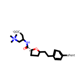 CCCCCc1ccc(CCC2CC[C@H](C(=O)NC(CC(=O)[O-])C[N+](C)(C)C)O2)cc1